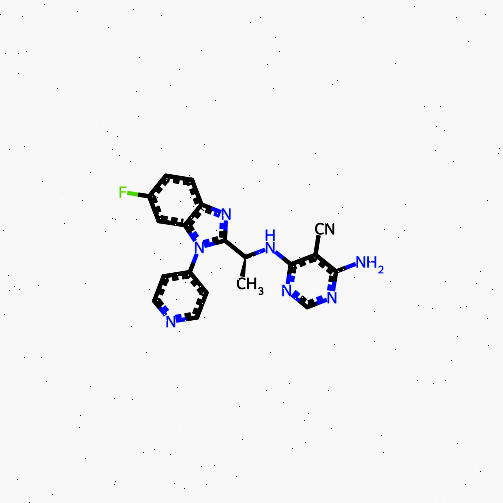 C[C@H](Nc1ncnc(N)c1C#N)c1nc2ccc(F)cc2n1-c1ccncc1